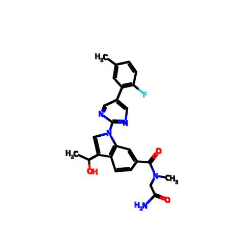 Cc1ccc(F)c(-c2cnc(-n3cc(C(C)O)c4ccc(C(=O)N(C)CC(N)=O)cc43)nc2)c1